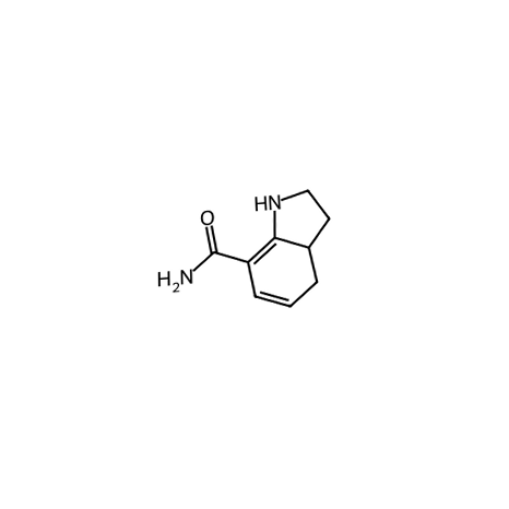 NC(=O)C1=C2NCCC2CC=C1